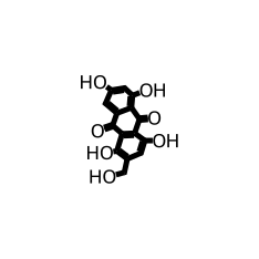 O=C1c2c(O)cc(O)cc2C(=O)c2c(O)c(CO)cc(O)c21